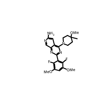 COc1cc(OC)c(F)c(-c2nc(N3CCC(C)(OC)CC3)c3cc(N)ncc3n2)c1F